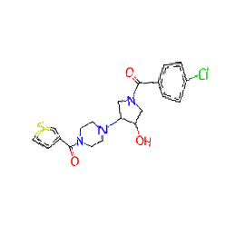 O=C(c1ccsc1)N1CCN(C2CN(C(=O)c3ccc(Cl)cc3)CC2O)CC1